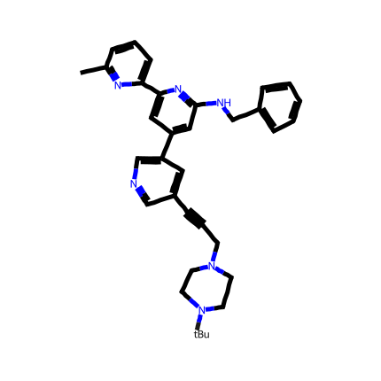 Cc1cccc(-c2cc(-c3cncc(C#CCN4CCN(C(C)(C)C)CC4)c3)cc(NCc3ccccc3)n2)n1